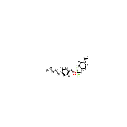 C=C[C@H]1CC[C@H](CC(F)(F)OCc2ccc(CCCCC)cc2)CC1